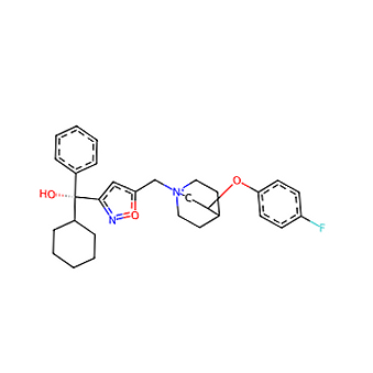 O[C@](c1ccccc1)(c1cc(C[N+]23CCC(CC2)C(Oc2ccc(F)cc2)C3)on1)C1CCCCC1